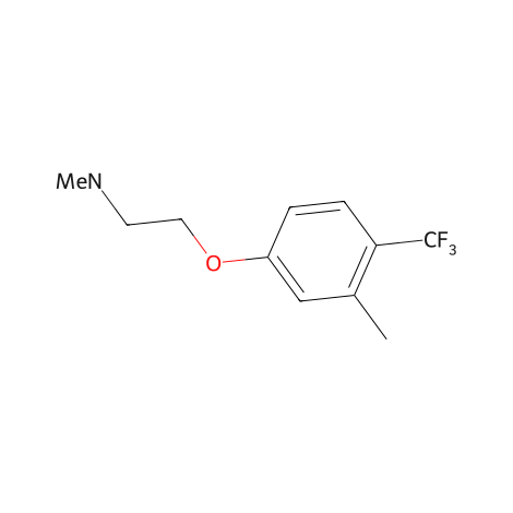 CNCCOc1ccc(C(F)(F)F)c(C)c1